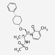 Cc1cccn([C@H](CO[C@H]2CC[C@@H](c3ccccc3)CC2)[C@@H](C)NS(C)(=O)=O)c1=O